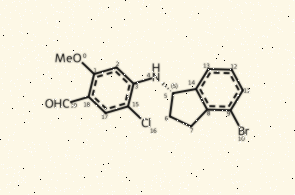 COc1cc(N[C@H]2CCc3c(Br)cccc32)c(Cl)cc1C=O